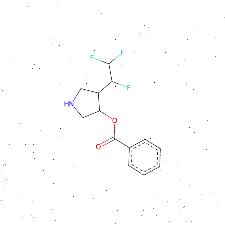 O=C(OC1CNCC1C(F)C(F)F)c1ccccc1